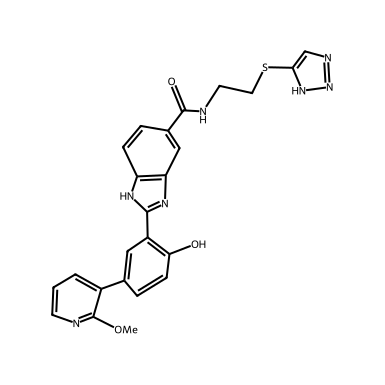 COc1ncccc1-c1ccc(O)c(-c2nc3cc(C(=O)NCCSc4cnn[nH]4)ccc3[nH]2)c1